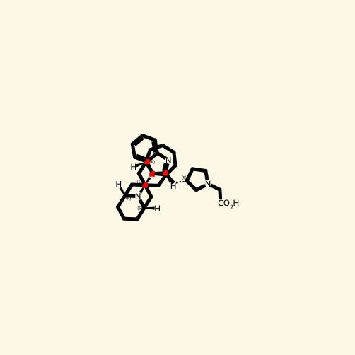 O=C(O)CN1CC[C@@H](Cc2nc3ccccc3n2[C@@H]2C[C@H]3CCC[C@@H](C2)N3[C@H]2C[C@@H]3CCCC[C@@H](C3)C2)C1